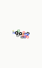 CC(C)(C)OC(=O)N1CCCC1CNS(=O)(=O)c1ccc(-c2c(Cl)cc(N=S)cc2C(F)(F)F)cc1